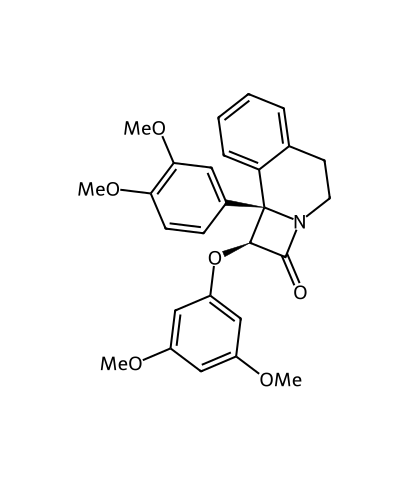 COc1cc(OC)cc(O[C@@H]2C(=O)N3CCc4ccccc4[C@@]23c2ccc(OC)c(OC)c2)c1